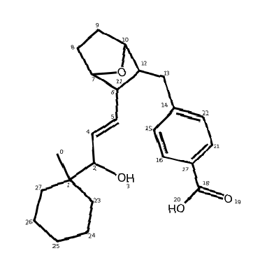 CC1(C(O)/C=C/C2C3CCC(O3)C2Cc2ccc(C(=O)O)cc2)CCCCC1